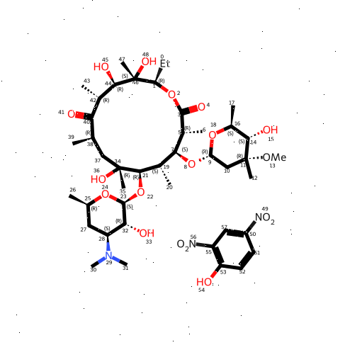 CC[C@H]1OC(=O)[C@H](C)[C@@H](O[C@H]2C[C@@](C)(OC)[C@@H](O)[C@H](C)O2)[C@H](C)[C@@H](O[C@@H]2O[C@H](C)C[C@H](N(C)C)[C@H]2O)[C@](C)(O)C[C@@H](C)C(=O)[C@H](C)[C@@H](O)[C@]1(C)O.O=[N+]([O-])c1ccc(O)c([N+](=O)[O-])c1